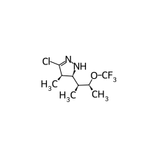 C[C@@H]([C@@H]1NN=C(Cl)[C@@H]1C)[C@H](C)OC(F)(F)F